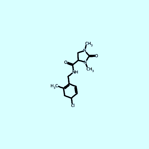 CC1=C(CNC(=O)C2CN(C)C(=O)N2C)C=CC(Cl)C1